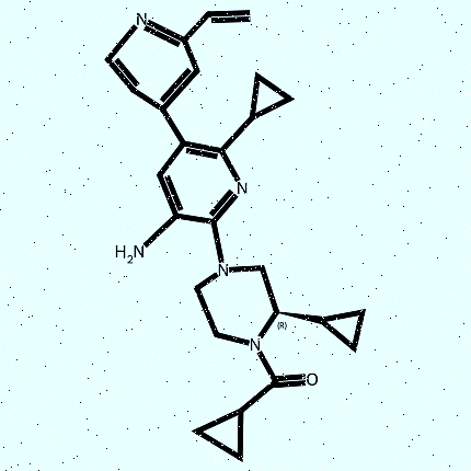 C=Cc1cc(-c2cc(N)c(N3CCN(C(=O)C4CC4)[C@H](C4CC4)C3)nc2C2CC2)ccn1